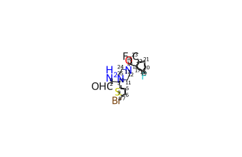 NC(C=O)C(c1ccc(Br)s1)N1CCN(C(=O)c2cc(F)ccc2C(F)(F)F)CC1